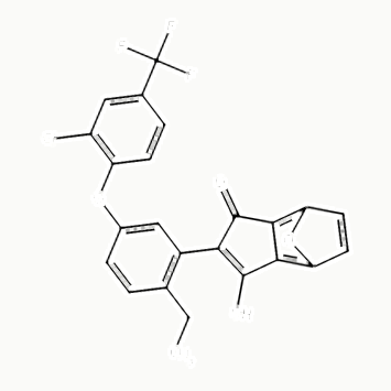 CCc1ccc(Oc2ccc(C(F)(F)F)cc2Cl)cc1C1=C(O)c2c(c3ccc2o3)C1=O